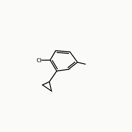 Cc1[c]c(C2CC2)c(Cl)cc1